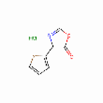 Cl.O=C1OC=NC1c1cccs1